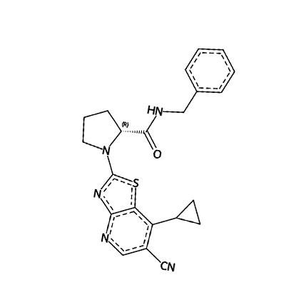 N#Cc1cnc2nc(N3CCC[C@@H]3C(=O)NCc3ccccc3)sc2c1C1CC1